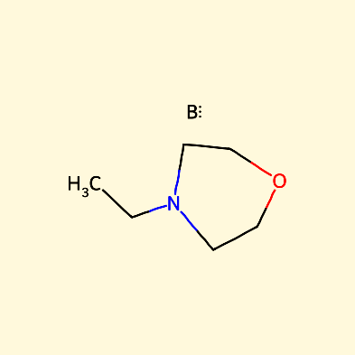 CCN1CCOCC1.[B]